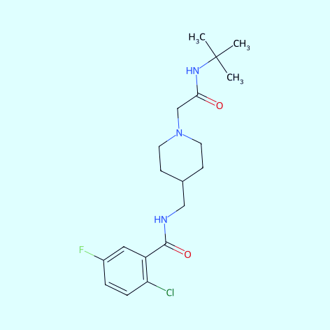 CC(C)(C)NC(=O)CN1CCC(CNC(=O)c2cc(F)ccc2Cl)CC1